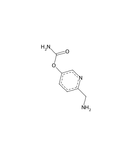 NCc1ccc(OC(N)=O)cn1